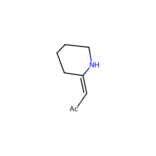 CC(=O)C=C1CCCCN1